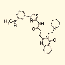 CBc1cccc(-c2csc(NC(=O)CSc3nc4ccccc4c(=O)n3CCN3CCCCC3)n2)c1